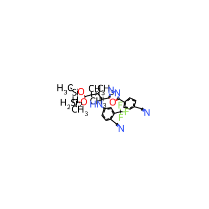 C[SiH2]OC(O[SiH2]C)C(C)(C)[C@@H](C)[C@@H](Nc1ccc(C#N)c(C(F)(F)F)c1)c1nnc(-c2ccc(C#N)cc2)o1